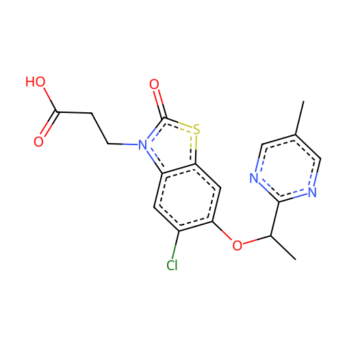 Cc1cnc(C(C)Oc2cc3sc(=O)n(CCC(=O)O)c3cc2Cl)nc1